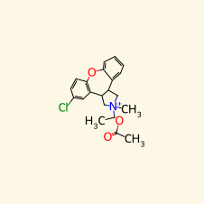 CC(=O)OC(C)[N+]1(C)CC2c3ccccc3Oc3ccc(Cl)cc3C2C1